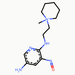 C[N+]1(CCNc2ncc(N)cc2N=O)CCCCC1